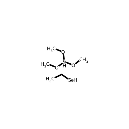 CC[SeH].CO[SiH](OC)OC